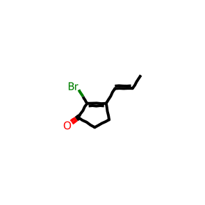 CC=CC1=C(Br)C(=O)CC1